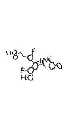 COc1cccc([C@@H](C)NC(C)c2cc(-c3cc(F)cc(CCC(=O)O)c3)c3cc(F)ccc3c2)c1.Cl